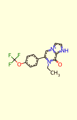 CCn1c(-c2ccc(OC(F)(F)F)cc2)c[n+]2cc[nH]c2c1=O